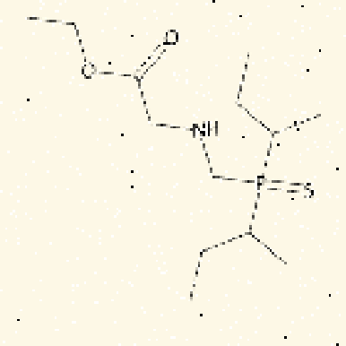 CCOC(=O)CNCP(=S)(C(C)CC)C(C)CC